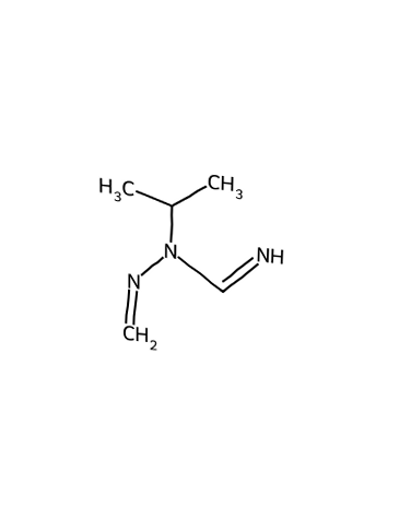 C=NN(C=N)C(C)C